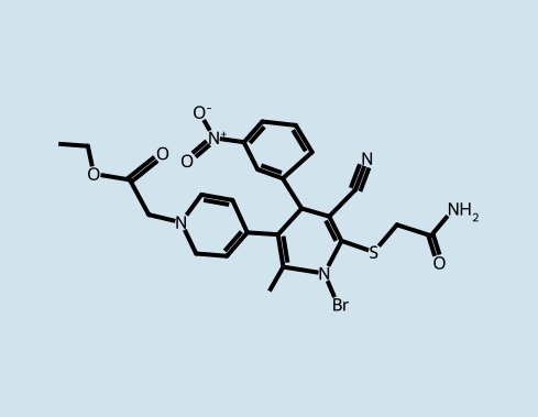 CCOC(=O)CN1C=CC(C2=C(C)N(Br)C(SCC(N)=O)=C(C#N)C2c2cccc([N+](=O)[O-])c2)=CC1